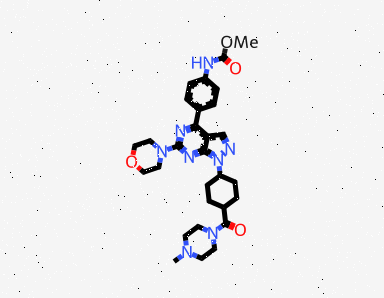 COC(=O)Nc1ccc(-c2nc(N3CCOCC3)nc3c2cnn3C2CCC(C(=O)N3CCN(C)CC3)CC2)cc1